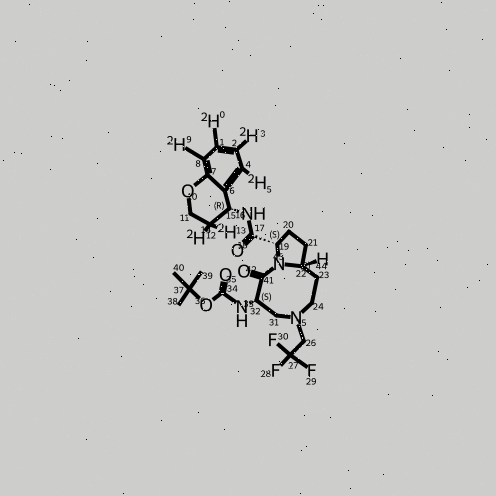 [2H]c1c([2H])c([2H])c2c(c1[2H])OCC([2H])([2H])[C@H]2NC(=O)[C@@H]1CC[C@@H]2CCN(CC(F)(F)F)C[C@H](NC(=O)OC(C)(C)C)C(=O)N21